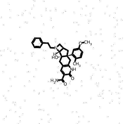 COc1ccc(C)c([C@@]23Cc4[nH]c(=O)c(C(N)=O)cc4C[C@@]2(O)[C@H]2C(CN2CCc2ccccc2)C3)c1